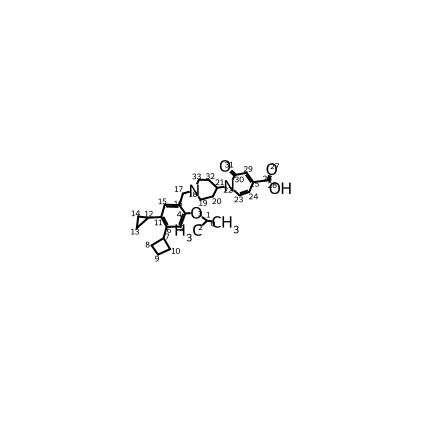 CC(C)Oc1cc(C2CCC2)c(C2CC2)cc1CN1CCC(n2ccc(C(=O)O)cc2=O)CC1